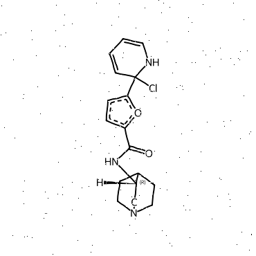 O=C(N[C@H]1CN2CCC1CC2)c1ccc(C2(Cl)C=CC=CN2)o1